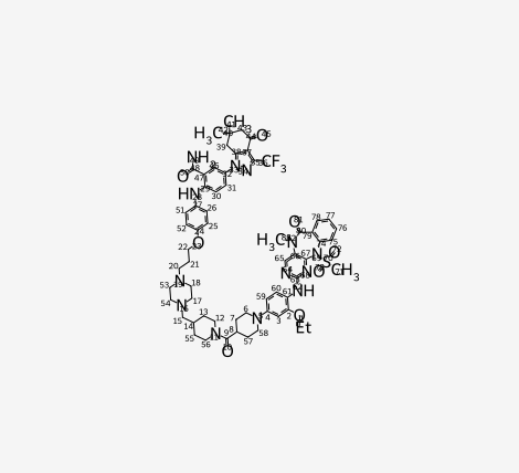 CCOc1cc(N2CCC(C(=O)N3CCC(CN4CCN(CCCOc5ccc(Nc6ccc(-n7nc(C(F)(F)F)c8c7CC(C)(C)CC8=O)cc6C(N)=O)cc5)CC4)CC3)CC2)ccc1Nc1ncc2c(n1)N(S(C)(=O)=O)c1ccccc1C(=O)N2C